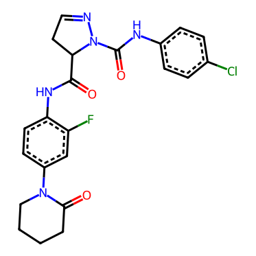 O=C(Nc1ccc(N2CCCCC2=O)cc1F)C1CC=NN1C(=O)Nc1ccc(Cl)cc1